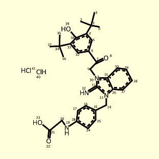 CC(C)(C)c1cc(C(=O)Cn2c(=N)n(Cc3ccc(NCC(=O)O)cc3)c3ccccc32)cc(C(C)(C)C)c1O.Cl.Cl